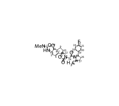 CNC(=O)NC1=CC=C2C(CC[C@]23CN(CC(=O)N2C(c4ccc(F)cc4)CC[C@H]2C)C(=O)O3)C1=O